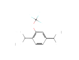 CC(C)c1ccc(C(C)C)c(OC(F)(F)F)c1